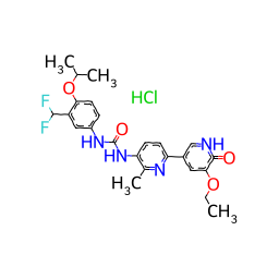 CCOc1cc(-c2ccc(NC(=O)Nc3ccc(OC(C)C)c(C(F)F)c3)c(C)n2)c[nH]c1=O.Cl